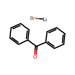 O=C(c1ccccc1)c1ccccc1.[Li][Br]